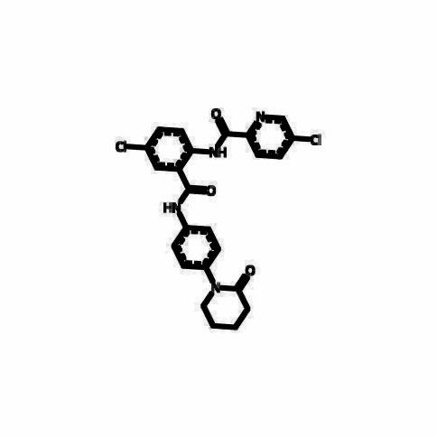 O=C(Nc1ccc(Cl)cc1C(=O)Nc1ccc(N2CCCCC2=O)cc1)c1ccc(Cl)cn1